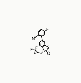 N#Cc1ccc(F)cc1-c1ccc2c(c1)sc(=O)n2CC1CC1(F)F